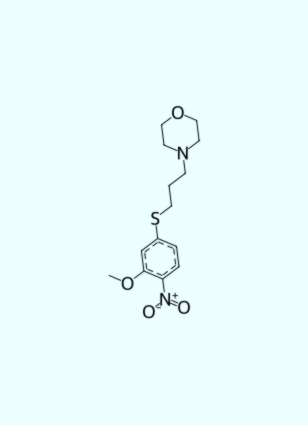 COc1cc(SCCCN2CCOCC2)ccc1[N+](=O)[O-]